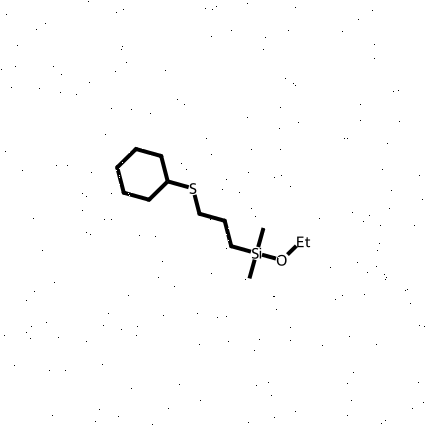 CCO[Si](C)(C)CCCSC1CCCCC1